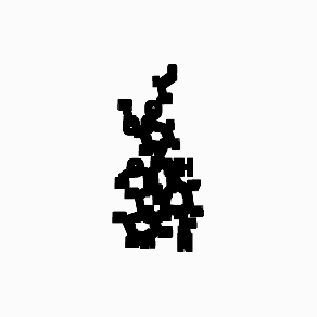 C=CCOc1ccc([C@@H](Nc2ccc(C#N)cc2)C(=NCc2ccccc2)OC)cc1OC